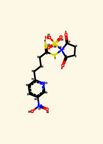 O=C1CCC(=O)[N+]1(SC(=S)CCCc1ccc([N+](=O)[O-])cn1)S(=O)(=O)O